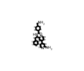 NCC1CCC(C(=O)NC(Cc2ccccc2)c2cc(-c3ccnc(N)c3)ccn2)CC1